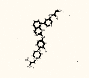 C=CC(=O)Nc1cncc(-c2cccc3cnc(Nc4ccc(N5CCN(CC(C)O)CC5)c(F)c4)nc23)c1